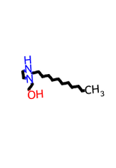 CCCCCCCCCCCC1NCCN1CCO